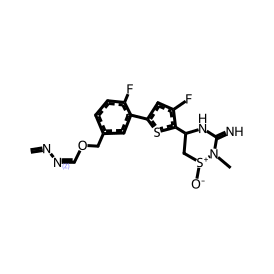 C=N/N=C\OCc1ccc(F)c(-c2cc(F)c(C3C[S+]([O-])N(C)C(=N)N3)s2)c1